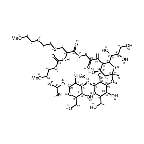 COCCOCCSCC(NC(=O)OCCOC)C(=O)NCC(=O)N[C@H]1C([C@H](O)[C@H](O)CO)O[C@](C)(O[C@@H]2C(O)[C@H](O[C@@H]3C(NC(C)=O)[C@@H](OC(C(C)C)C(C)C)OC(CO)[C@@H]3O)OC(CO)[C@@H]2O)C[C@H]1O